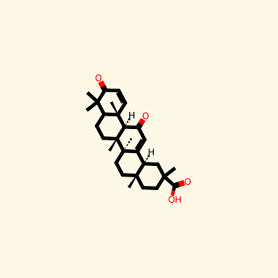 CC1(C(=O)O)CC[C@]2(C)CC[C@]3(C)C(=CC(=O)[C@@H]4[C@@]5(C)C=CC(=O)C(C)(C)C5CC[C@]43C)[C@H]2C1